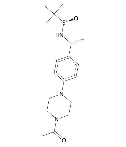 CC(=O)N1CCN(c2ccc([C@@H](C)N[S@+]([O-])C(C)(C)C)cc2)CC1